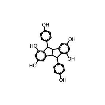 Oc1ccc(C2c3c(O)cc(O)cc3C3C(c4ccc(O)cc4)c4c(O)cc(O)cc4C23)cc1